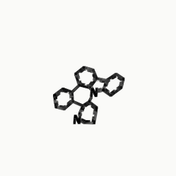 c1ccc2c(c1)-c1ncccc1-n1c3ccccc3c3cccc-2c31